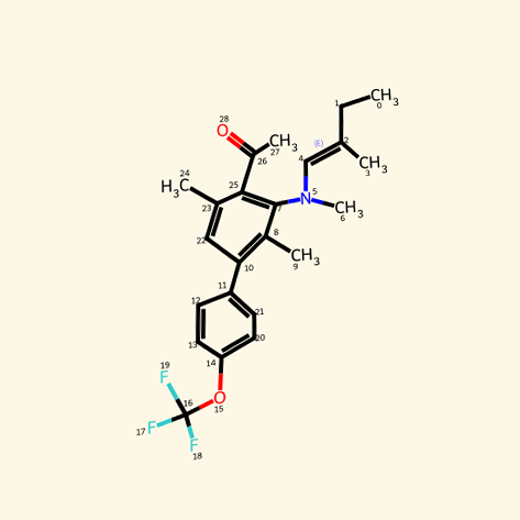 CC/C(C)=C/N(C)c1c(C)c(-c2ccc(OC(F)(F)F)cc2)cc(C)c1C(C)=O